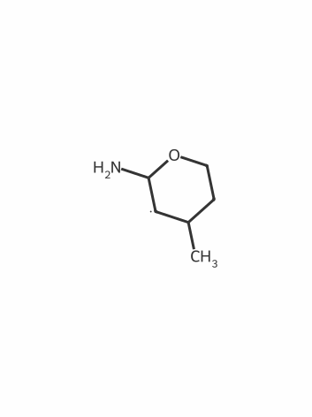 CC1[CH]C(N)OCC1